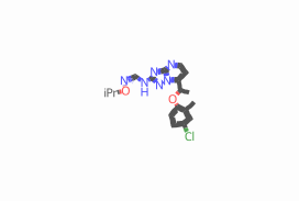 Cc1cc(Cl)ccc1OC(C)c1ccnc2nc(N/C=N\OC(C)C)nn12